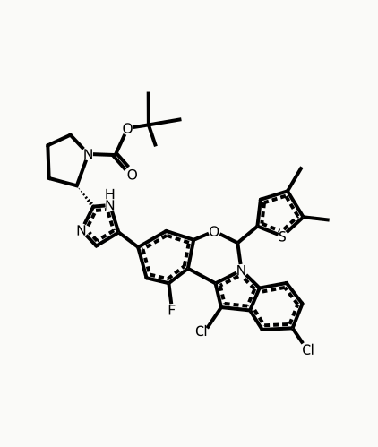 Cc1cc(C2Oc3cc(-c4cnc([C@@H]5CCCN5C(=O)OC(C)(C)C)[nH]4)cc(F)c3-c3c(Cl)c4cc(Cl)ccc4n32)sc1C